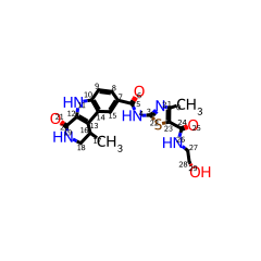 Cc1nc(NC(=O)c2ccc3[nH]c4c(c3c2)C(C)CNC4=O)sc1C(=O)NCCO